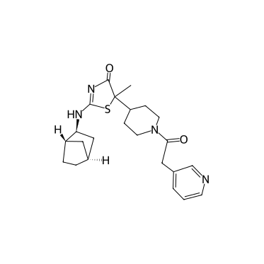 CC1(C2CCN(C(=O)Cc3cccnc3)CC2)SC(N[C@H]2C[C@H]3CC[C@H]2C3)=NC1=O